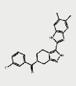 Cc1cc2nc(-c3[nH]nc4c3CCN(C(=O)c3cccc(Cl)c3)C4)[nH]c2cc1C